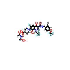 COc1c(N2CCC(C(=O)ON(C(C)O)C(C)O)CC2)c(F)cc2c(=O)c(C(=O)NCc3ccc(OC(F)(F)F)cc3C)cn(CC(F)(F)F)c12